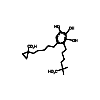 CC(C)(CCCCc1c(CCCCCC2(C(=O)O)CC2)cc(O)c(O)c1O)C(=O)O